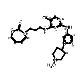 CN1CCC(n2cc(Nc3ncc(Cl)c(NCCCN4C=CC=COC4=O)n3)cn2)CC1